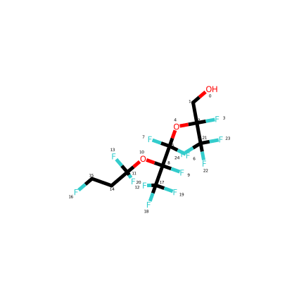 OCC(F)(OC(F)(F)C(F)(OC(F)(F)CCF)C(F)(F)F)C(F)(F)F